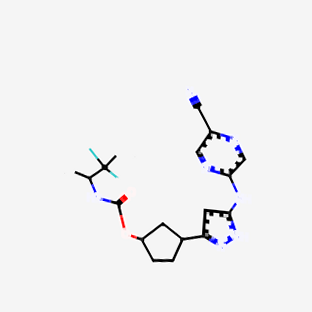 CC(NC(=O)OC1CCC(c2cc(Nc3cnc(C#N)cn3)[nH]n2)C1)C(C)(F)F